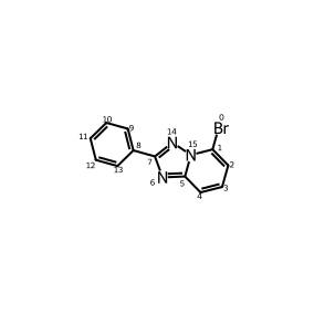 Brc1cccc2nc(-c3ccccc3)nn12